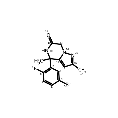 CC1(c2cc(Br)ccc2F)NC(=O)Cn2nc(C(F)(F)F)cc21